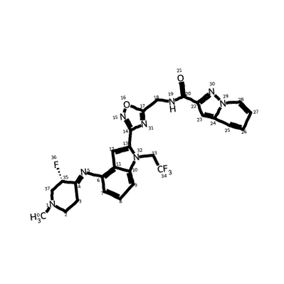 CN1CC/C(=N\c2cccc3c2cc(-c2noc(CNC(=O)c4cc5ccccn5n4)n2)n3CC(F)(F)F)[C@@H](F)C1